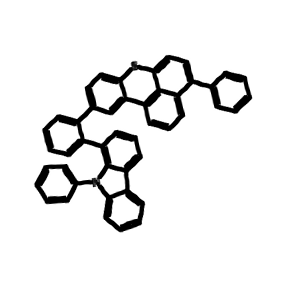 c1ccc(-c2ccc3c4c(cccc24)-c2cc(-c4ccccc4-c4cccc5c6ccccc6n(-c6ccccc6)c45)ccc2S3)cc1